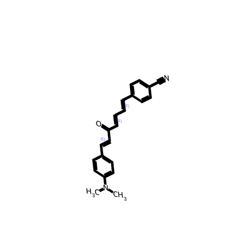 CN(C)c1ccc(/C=C/C(=O)/C=C/C=C/c2ccc(C#N)cc2)cc1